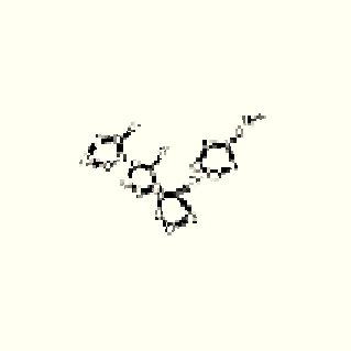 [Hf+4].[O-]B1OOOO1.[O-]B1OOOO1.[O-]B1OOOO1.[O-]B1OOOO1